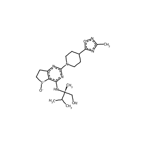 Cc1noc(C2CCN(c3nc4c(c(N[C@](C)(CO)C(C)C)n3)[S+]([O-])CC4)CC2)n1